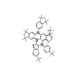 CC(C)(C)c1ccc(-c2cc(C(C)(C)C)ccc2N2c3cc(C(C)(C)C)cc4c3B(c3cc5c(cc3N4c3ccc4c(c3)C(C)(C)CC4(C)C)C(C)(C)CC5(C)C)c3sc4ccc(C(C)(C)C)cc4c32)cc1